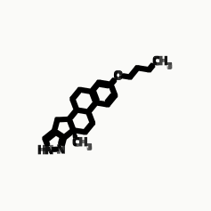 CCCCOc1ccc2c(c1)CCC1C2CC[C@]2(C)c3n[nH]cc3CC12